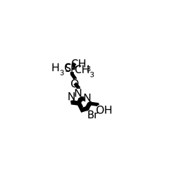 C[Si](C)(C)CCOCn1ncc2cc(Br)c(CO)nc21